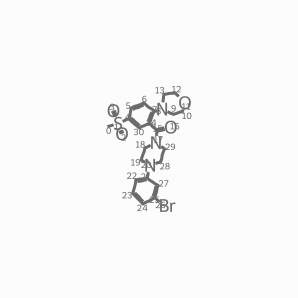 CS(=O)(=O)c1ccc(N2CCOCC2)c(C(=O)N2CCN(c3cccc(Br)c3)CC2)c1